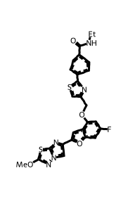 CCNC(=O)c1ccc(-c2nc(COc3cc(F)cc4oc(-c5cn6nc(OC)sc6n5)cc34)cs2)cc1